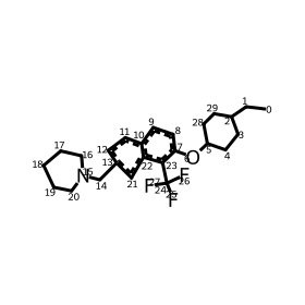 CCC1CCC(Oc2ccc3ccc(CN4CCCCC4)cc3c2C(F)(F)F)CC1